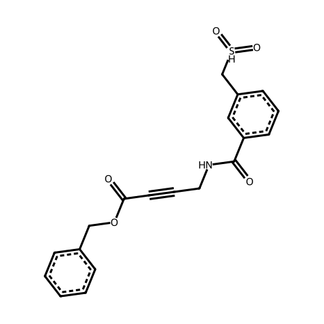 O=C(C#CCNC(=O)c1cccc(C[SH](=O)=O)c1)OCc1ccccc1